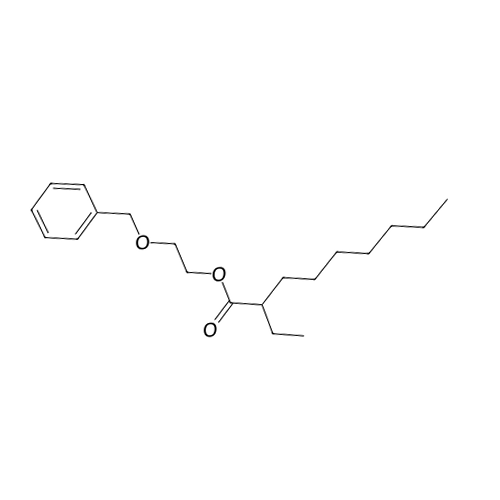 CCCCCCCC(CC)C(=O)OCCOCc1ccccc1